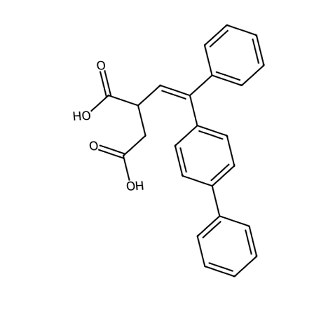 O=C(O)CC(C=C(c1ccccc1)c1ccc(-c2ccccc2)cc1)C(=O)O